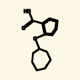 O=C(O)c1ccccc1OC1CCCCCC1